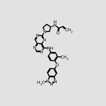 C=CC(=O)N[C@@H]1CCN(c2ncc3ncnc(Nc4ccc(Oc5ccc6c(c5)nnn6C)c(C)c4)c3n2)C1